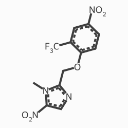 Cn1c([N+](=O)[O-])cnc1COc1ccc([N+](=O)[O-])cc1C(F)(F)F